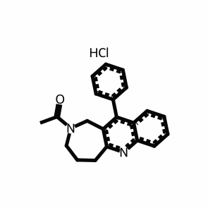 CC(=O)N1CCCc2nc3ccccc3c(-c3ccccc3)c2C1.Cl